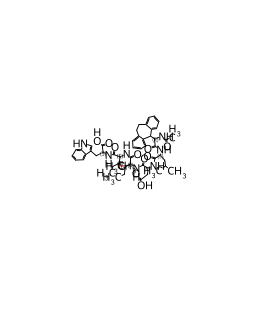 CC[C@H](C)[C@H](NC(=O)[C@H](CC(=O)O)NC(=O)[C@H](CC(C)C)NC(=O)[C@H](NC(C)=O)C1c2ccccc2CCc2ccccc21)C(=O)N[C@H](C(=O)N[C@@H](Cc1c[nH]c2ccccc12)C(=O)O)[C@@H](C)CC